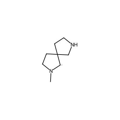 CN1[CH]C2(CCNC2)CC1